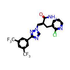 NC(=O)/C(=C/n1cnc(-c2cc(C(F)(F)F)cc(C(F)(F)F)c2)n1)Cc1cccnc1Cl